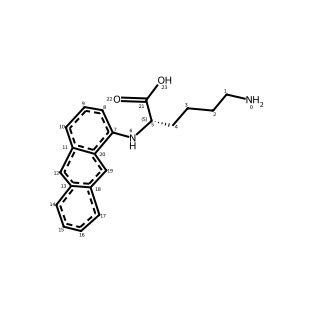 NCCCC[C@H](Nc1cccc2cc3ccccc3cc12)C(=O)O